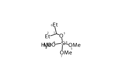 CCC(CC)O[Si](OC)(OC)OC.O